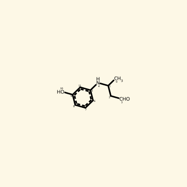 CC(CC=O)Nc1cccc(O)c1